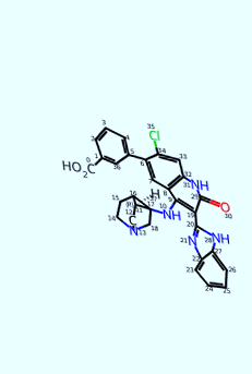 O=C(O)c1cccc(-c2cc3c(N[C@H]4CN5CCC4CC5)c(-c4nc5ccccc5[nH]4)c(=O)[nH]c3cc2Cl)c1